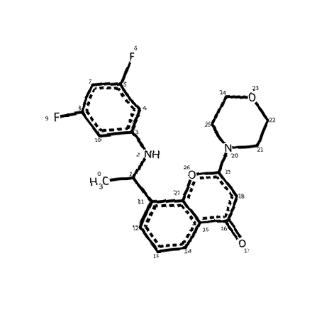 CC(Nc1cc(F)cc(F)c1)c1cccc2c(=O)cc(N3CCOCC3)oc12